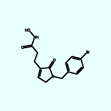 O=C(CCC1=CCN(Cc2ccc(Br)cc2)C1=O)NO